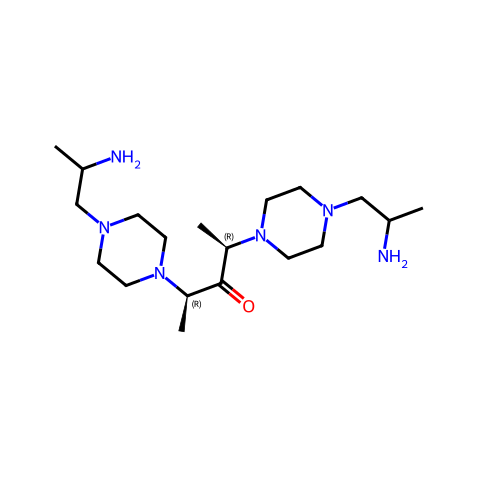 CC(N)CN1CCN([C@H](C)C(=O)[C@@H](C)N2CCN(CC(C)N)CC2)CC1